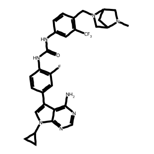 CN1CC2CC1CN2Cc1ccc(NC(=O)Nc2ccc(-c3cn(C4CC4)c4ncnc(N)c34)cc2F)cc1C(F)(F)F